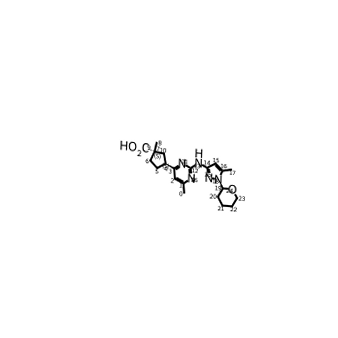 Cc1cc([C@H]2CC[C@](C)(C(=O)O)C2)nc(Nc2cc(C)n(C3CCCCO3)n2)n1